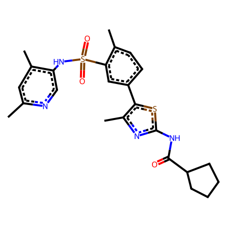 Cc1cc(C)c(NS(=O)(=O)c2cc(-c3sc(NC(=O)C4CCCC4)nc3C)ccc2C)cn1